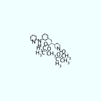 CC(C)(C)OC(=O)[C@@H](Cc1cccc(Nc2ccccn2)c1)[C@H]1CCN(C(=O)OC(C)(C)C)C1